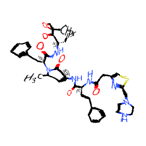 CC(C)C[C@H](NC(=O)[C@H](Cc1ccccc1)N1C(=O)[C@@H](NC(=O)[C@H](CCc2ccccc2)NC(=O)Cc2csc(CN3CCNCC3)n2)CC1C)C(=O)C1(C)CO1